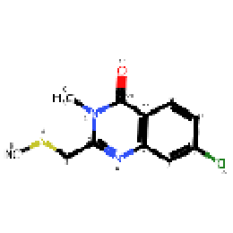 Cn1c(CSC#N)nc2cc(Cl)ccc2c1=O